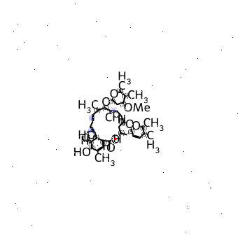 CO[C@H]1C[C@H](O[C@@H]2/C(C)=C/C[C@@H]3C[C@@H](C[C@]4(C=C[C@H](C)[C@@H](C)O4)O3)OC(=O)[C@@H]3C=C(C)[C@@H](O)[C@H]4OC/C(=C\C=C\[C@@H]2C)[C@]43O)O[C@@H](C)[C@@H]1C